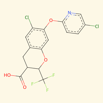 O=C(O)C1Cc2cc(Cl)c(Oc3ccc(Cl)cn3)cc2OC1C(F)(F)F